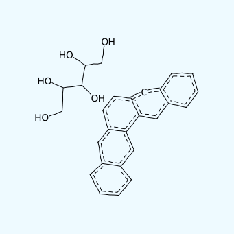 OCC(O)C(O)C(O)CO.c1ccc2cc3c(ccc4cc5ccccc5cc43)cc2c1